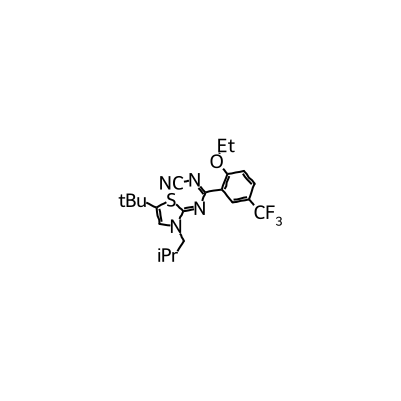 CCOc1ccc(C(F)(F)F)cc1C(=NC#N)/N=c1\sc(C(C)(C)C)cn1CC(C)C